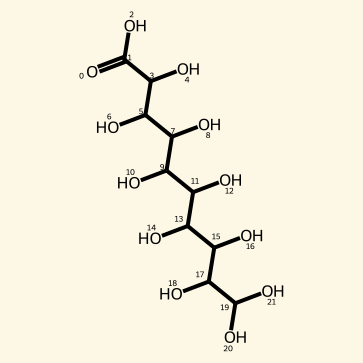 O=C(O)C(O)C(O)C(O)C(O)C(O)C(O)C(O)C(O)C(O)O